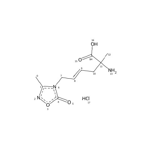 Cc1noc(=O)n1CC=CCC(C)(N)C(=O)O.Cl